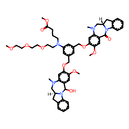 COCCOCCOCCN(CCCC(=O)OC)c1cc(COc2cc3c(cc2OC)C(=O)N2c4ccccc4C[C@H]2CN3C)cc(COc2cc3c(cc2OC)C(O)N2c4ccccc4C[C@H]2CN3C)c1